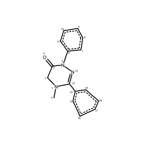 CN1CC(=O)N(c2ccccc2)N=C1c1ccccc1